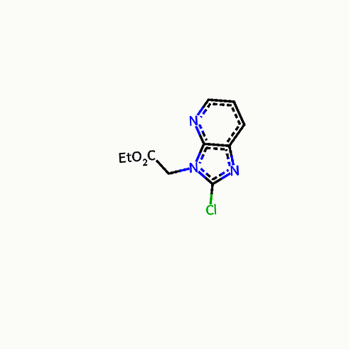 CCOC(=O)Cn1c(Cl)nc2cccnc21